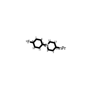 CCCC1CCN(C2CCC(F)CC2)CC1